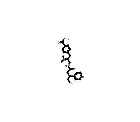 CC(C)CC(CC(=O)NCC(Cc1ccc(C(N)=O)cc1)N(C)C)c1ccccc1